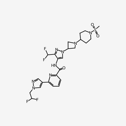 CS(=O)(=O)N1CCC(N2CC(n3cc(NC(=O)c4cccc(-c5cnn(CC(F)F)c5)n4)c(C(F)F)n3)C2)CC1